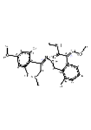 CNC(=O)/C(=N/OC)c1cccc(C)c1CO/N=C(\COC)c1c(F)cc(OC)cc1F